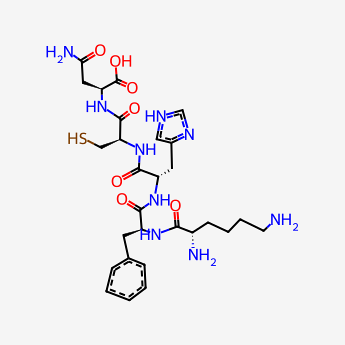 NCCCC[C@H](N)C(=O)N[C@@H](Cc1ccccc1)C(=O)N[C@@H](Cc1c[nH]cn1)C(=O)N[C@@H](CS)C(=O)N[C@@H](CC(N)=O)C(=O)O